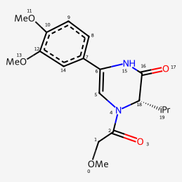 COCC(=O)N1C=C(c2ccc(OC)c(OC)c2)NC(=O)[C@@H]1C(C)C